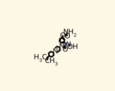 CC(C)C1CCC(N2CCC(N3C(=O)/C(=N\O)c4cc(OC(N)=O)ccc43)CC2)CC1